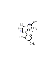 CCC(C/C=C(\C)C(C)C)/C(F)=C\C(C)C1OCC(C)CC1CC